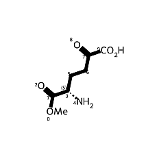 COC(=O)[C@@H](N)CCC(=O)C(=O)O